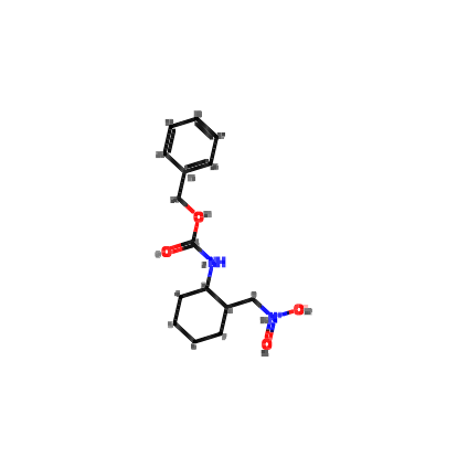 O=C(NC1CCCCC1C[N+](=O)[O-])OCc1ccccc1